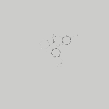 CCc1ccc(OC(=O)C2(c3ccc(CC(C)CC)cc3)CCCCC2)c(C#N)c1